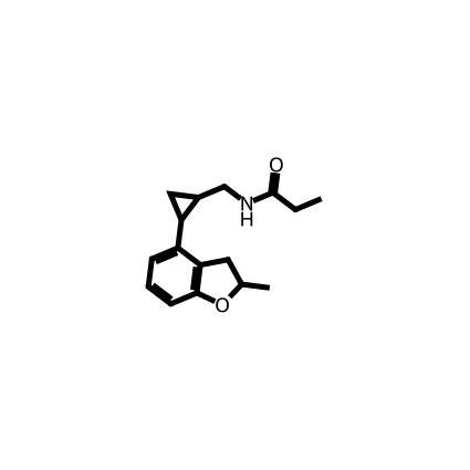 CCC(=O)NCC1CC1c1cccc2c1CC(C)O2